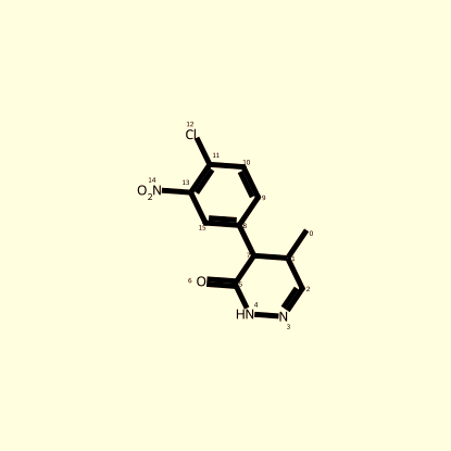 CC1C=NNC(=O)C1c1ccc(Cl)c([N+](=O)[O-])c1